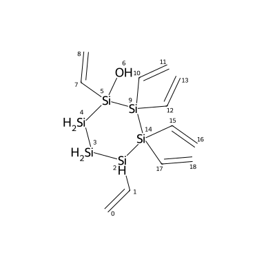 C=C[SiH]1[SiH2][SiH2][Si](O)(C=C)[Si](C=C)(C=C)[Si]1(C=C)C=C